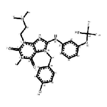 CN(C)CCn1c(=O)n(C)c(=O)c2c1nc(Bc1cccc(OC(F)(F)F)c1)n2Cc1ccc(Cl)cc1